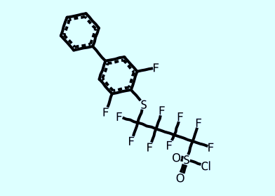 O=S(=O)(Cl)C(F)(F)C(F)(F)C(F)(F)C(F)(F)Sc1c(F)cc(-c2ccccc2)cc1F